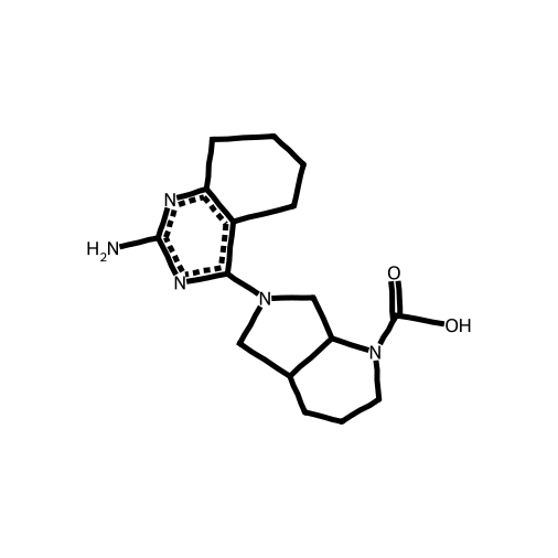 Nc1nc2c(c(N3CC4CCCN(C(=O)O)C4C3)n1)CCCC2